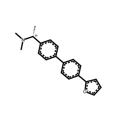 C[C@H](c1ccc(-c2ccc(-c3ccco3)cc2)cc1)N(C)C